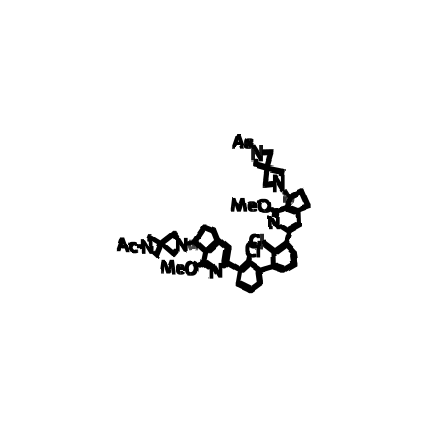 COc1nc(-c2cccc(-c3cccc(-c4cc5c(c(OC)n4)[C@@H](N4CC6(CN(C(C)=O)C6)C4)CC5)c3Cl)c2Cl)cc2c1[C@@H](N1CC3(CN(C(C)=O)C3)C1)CC2